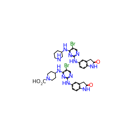 O=C1Cc2cc(Nc3ncc(Br)c(NC4CCCNC4)n3)ccc2N1.O=C1Cc2cc(Nc3ncc(Br)c(NC4CCN(C(=O)O)CC4)n3)ccc2N1